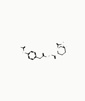 O=C(O)Nc1ccc(CC(=O)NNC(=O)[C@@H]2CC[C@@H]3CN2C(=O)N3O)cc1